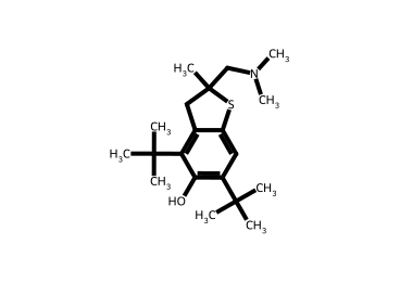 CN(C)CC1(C)Cc2c(cc(C(C)(C)C)c(O)c2C(C)(C)C)S1